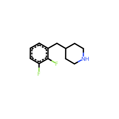 Fc1cccc(CC2CCNCC2)c1F